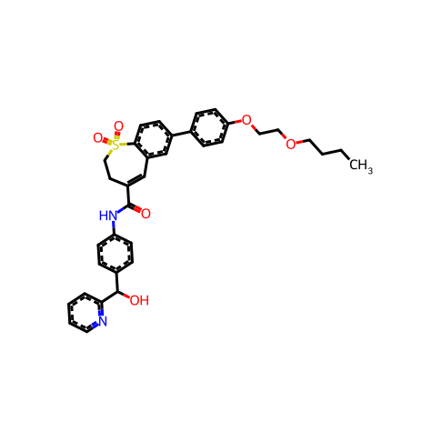 CCCCOCCOc1ccc(-c2ccc3c(c2)C=C(C(=O)Nc2ccc(C(O)c4ccccn4)cc2)CCS3(=O)=O)cc1